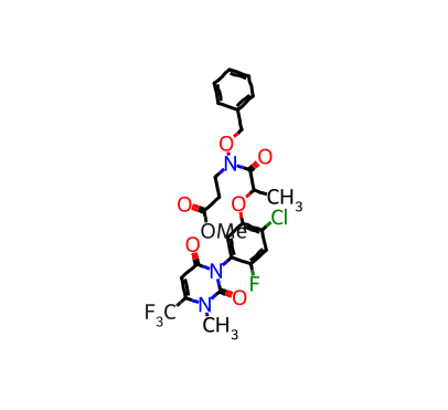 COC(=O)CCN(OCc1ccccc1)C(=O)C(C)Oc1cc(-n2c(=O)cc(C(F)(F)F)n(C)c2=O)c(F)cc1Cl